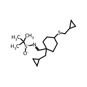 CC(C)(C)[S+]([O-])N=CC1(CC2CC2)CCC(SCC2CC2)CC1